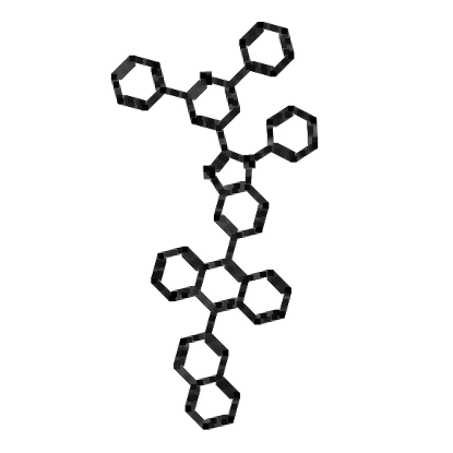 c1ccc(-c2cc(-c3nc4cc(-c5c6ccccc6c(-c6ccc7ccccc7c6)c6ccccc56)ccc4n3-c3ccccc3)cc(-c3ccccc3)n2)cc1